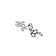 C=Cc1c(C(=C)/N=C(\N=C(/C)c2c(O)c(O)c(O)c(O)c2O)c2ccccc2)cccc1-c1ccc(-n2c3ccccc3c3cc(-c4ccccc4)ccc32)cc1C